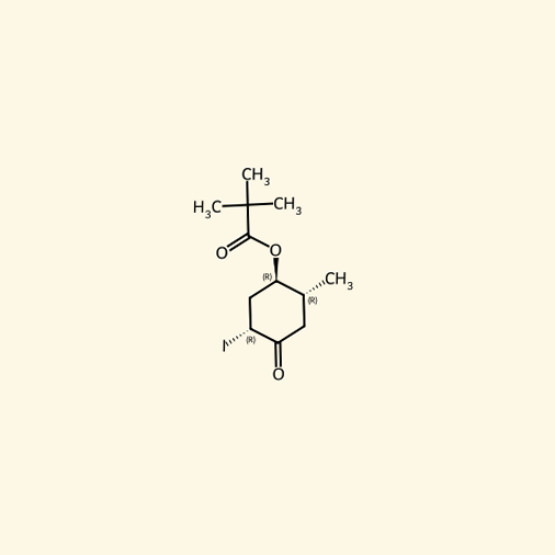 C[C@@H]1CC(=O)[C@H](I)C[C@H]1OC(=O)C(C)(C)C